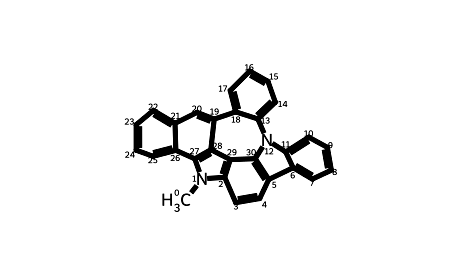 Cn1c2ccc3c4ccccc4n4c5ccccc5c5cc6ccccc6c1c5c2c34